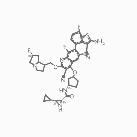 N#Cc1c(OCC2CCN3C[C@H](F)CC23)nc2c(F)c(-c3ccc(F)c4sc(N)c(C#N)c34)c(Cl)cc2c1OC1CC[C@H](NC(=O)[C@@H]2N[C@H]2C2CC2)C1